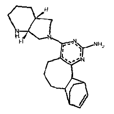 Nc1nc2c(c(N3C[C@H]4CCCN[C@H]4C3)n1)CCCC1C3C=CC(CC3)C21